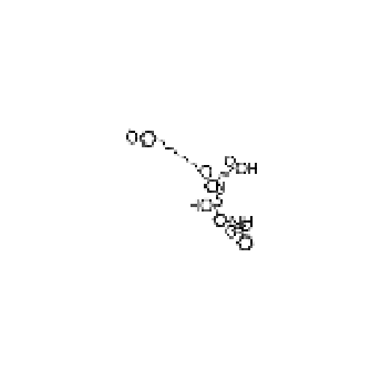 COc1ccc(CCCCCCCCOc2ccc(SC(O)c3cccc(NS(=O)(=O)c4ccccc4)c3)nc2C=CC(=O)O)cc1